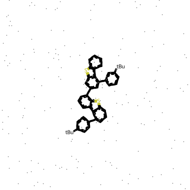 CC(C)(C)c1ccc(-c2cccc3sc4c(-c5cc(-c6cccc(C(C)(C)C)c6)c6c(c5)sc5ccccc56)cccc4c23)cc1